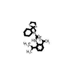 CC(C)c1cccc(C(C)C)c1NC(=O)NCC1(C2CCCCC2)SCCS1